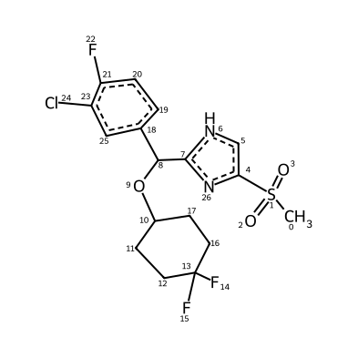 CS(=O)(=O)c1c[nH]c(C(OC2CCC(F)(F)CC2)c2ccc(F)c(Cl)c2)n1